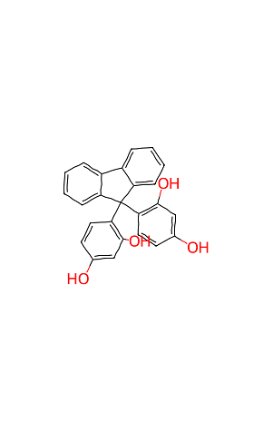 Oc1ccc(C2(c3ccc(O)cc3O)c3ccccc3-c3ccccc32)c(O)c1